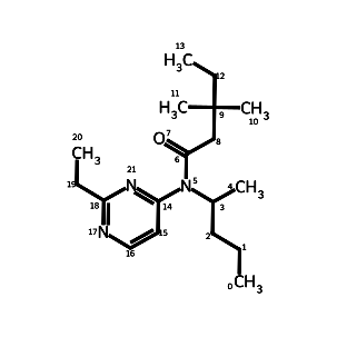 CCCC(C)N(C(=O)CC(C)(C)CC)c1ccnc(CC)n1